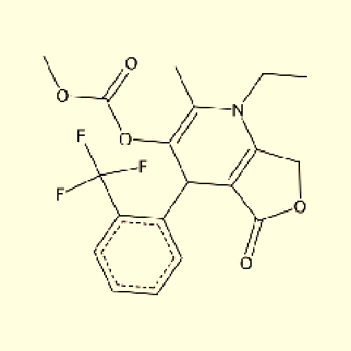 CCN1C(C)=C(OC(=O)OC)C(c2ccccc2C(F)(F)F)C2=C1COC2=O